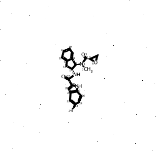 CN(C(=O)[C@@H]1CO1)[C@@H]1c2ccccc2C[C@H]1NC(=O)c1cc2cc(F)ccc2[nH]1